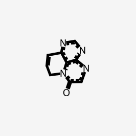 O=c1cnc2ncnc3c2n1CC=C3